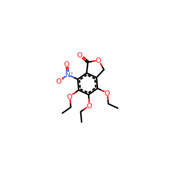 CCOc1c2c(c([N+](=O)[O-])c(OCC)c1OCC)C(=O)OC2